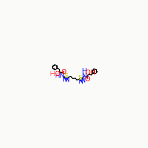 O=C(Nc1nnc(CCCCc2nnc(NC(=O)[C@H](O)Cc3ccccc3)s2)s1)[C@H](O)Cc1ccccc1